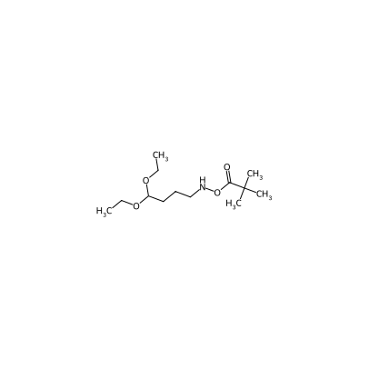 CCOC(CCCNOC(=O)C(C)(C)C)OCC